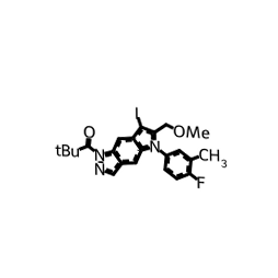 COCc1c(I)c2cc3c(cnn3C(=O)C(C)(C)C)cc2n1-c1ccc(F)c(C)c1